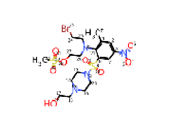 Cc1cc([N+](=O)[O-])cc(S(=O)(=O)N2CCN(CCO)CC2)c1N(CCBr)CCOS(C)(=O)=O